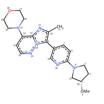 CO[C@H]1CCN(c2ccc(-c3c(C)nc4c(N5CCOCC5)ccnn34)cn2)C1